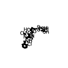 O=P(O)(O)CP(=O)(O)OC[C@@H]1C[C@@H](O)[C@H](n2nnc3c(NCc4ccccc4Cl)nc(Cl)nc32)O1